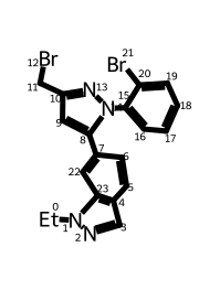 CCn1ncc2ccc(-c3cc(CBr)nn3-c3ccccc3Br)cc21